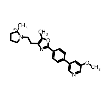 COc1cncc(-c2ccc(-c3nc(CCN4CCC[C@H]4C)c(C)o3)cc2)c1